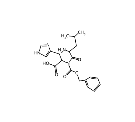 CC(C)CC(N)C(=O)N(C(=O)OCc1ccccc1)C(Cc1c[nH]cn1)C(=O)O